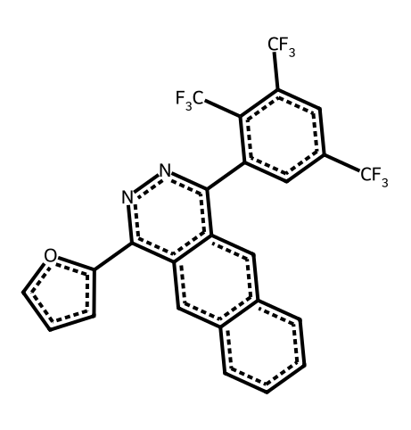 FC(F)(F)c1cc(-c2nnc(-c3ccco3)c3cc4ccccc4cc23)c(C(F)(F)F)c(C(F)(F)F)c1